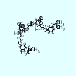 CN(C)Cc1cccc(OCCCNC(=C[N+](=O)[O-])NCCCCNC(=C[N+](=O)[O-])NCCCOc2cccc(CN(C)C)c2)c1